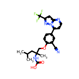 CC(C)CC(C)(COc1ccc(-c2ccnc3cc(C(F)(F)F)nn23)cc1C#N)NC(=O)O